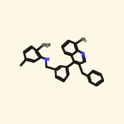 Cc1ccc(C(=O)O)c(NCc2cccc(-c3c(Cc4ccccc4)cnc4c(C(F)(F)F)cccc34)c2)c1